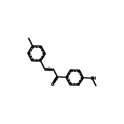 CBc1ccc(C(=O)/C=C/c2ccc(C)cc2)cc1